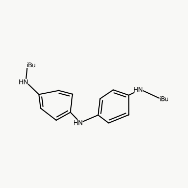 CCC(C)Nc1ccc(Nc2ccc(NC(C)CC)cc2)cc1